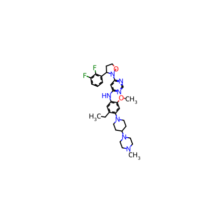 CCc1cc(Nc2cc(N3OCCC3c3cccc(F)c3F)ncn2)c(OC)cc1N1CCC(N2CCN(C)CC2)CC1